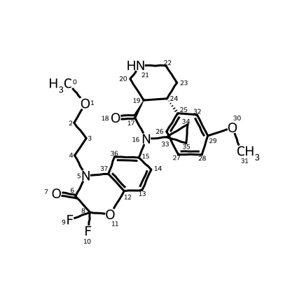 COCCCN1C(=O)C(F)(F)Oc2ccc(N(C(=O)[C@H]3CNCC[C@@H]3c3cccc(OC)c3)C3CC3)cc21